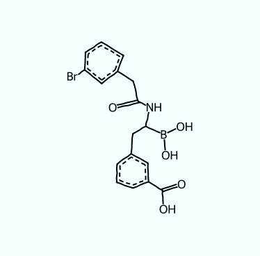 O=C(Cc1cccc(Br)c1)NC(Cc1cccc(C(=O)O)c1)B(O)O